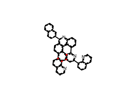 c1ccc2cc(-c3nc4cccc(-c5nc(-c6cccc7cccnc67)cc(-c6cccc7cccnc67)n5)c4c4c3ccc3ccccc34)ccc2c1